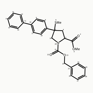 COC(=O)C1CC(SC)(c2ccc(-c3ccccc3)cc2)CN1C(=O)OCc1ccccc1